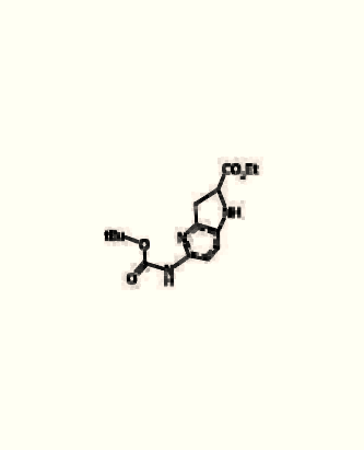 CCOC(=O)C1Cc2nc(NC(=O)OC(C)(C)C)ccc2N1